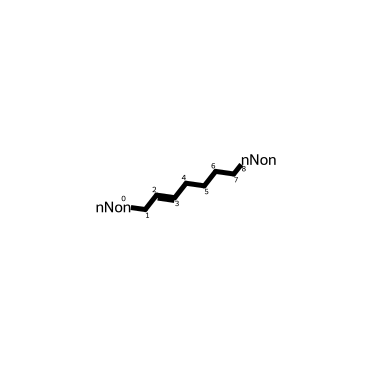 CCCCCCCCCC/C=C/CCCCCCCCCCCCC